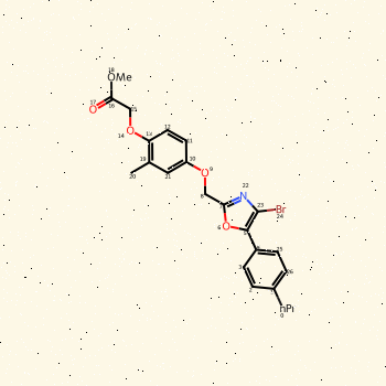 CCCc1ccc(-c2oc(COc3ccc(OCC(=O)OC)c(C)c3)nc2Br)cc1